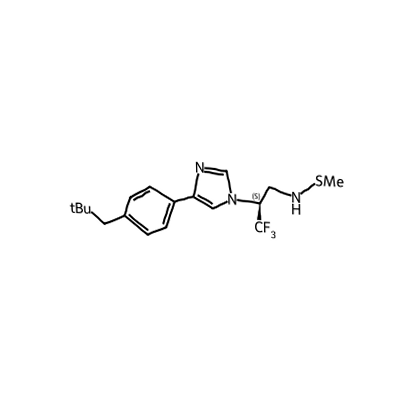 CSNC[C@H](n1cnc(-c2ccc(CC(C)(C)C)cc2)c1)C(F)(F)F